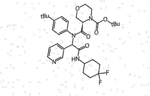 CC(C)(C)OC(=O)N1CCOC[C@@H]1C(=O)N(c1ccc(C(C)(C)C)cc1)C(C(=O)NC1CCC(F)(F)CC1)c1cccnc1